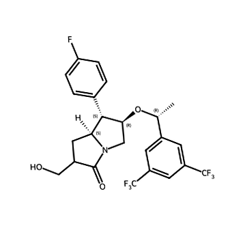 C[C@@H](O[C@H]1CN2C(=O)C(CO)C[C@H]2[C@@H]1c1ccc(F)cc1)c1cc(C(F)(F)F)cc(C(F)(F)F)c1